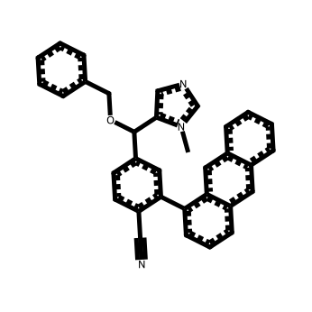 Cn1cncc1C(OCc1ccccc1)c1ccc(C#N)c(-c2cccc3cc4ccccc4cc23)c1